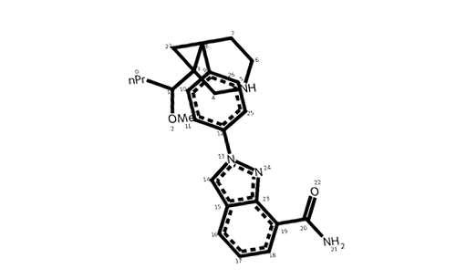 CCCC(OC)C12CNCCC1(c1ccc(-n3cc4cccc(C(N)=O)c4n3)cc1)C2